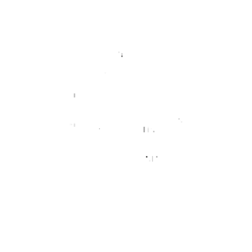 C=Cc1cc(C2(c3nc4cc(C#N)cnc4[nH]3)CCC2)ccc1NC(=N)/C=C\NC